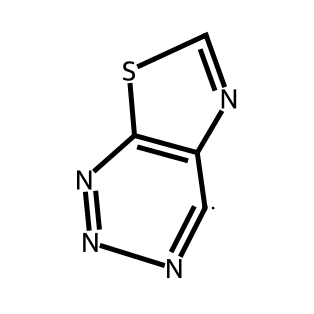 [c]1nnnc2scnc12